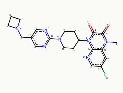 Cn1c(=O)c(=O)n(C2CCN(c3ncc(CN4CCC4)cn3)CC2)c2ncc(Cl)cc21